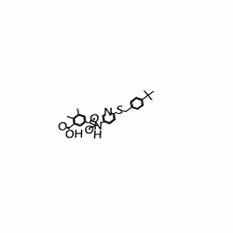 Cc1cc(S(=O)(=O)Nc2ccc(SCc3ccc(C(C)(C)C)cc3)nc2)cc(C(=O)O)c1C